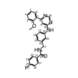 COc1ccccc1-c1cc(Nc2cccc(CNC(=O)c3ccc(F)cc3)c2)ncn1